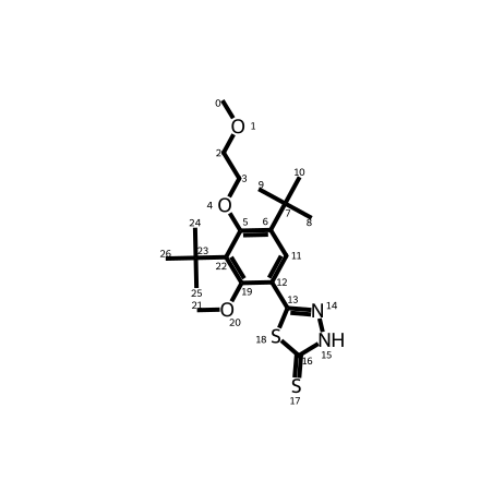 COCCOc1c(C(C)(C)C)cc(-c2n[nH]c(=S)s2)c(OC)c1C(C)(C)C